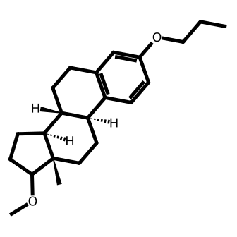 CCCOc1ccc2c(c1)CC[C@@H]1[C@@H]2CC[C@]2(C)C(OC)CC[C@@H]12